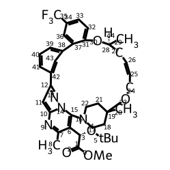 COC(=O)[C@@H](OC(C)(C)C)c1c(C)nc2cc3nn2c1N1CCC(C)(CC1)OCC=CC[C@H](C)Oc1ccc(C(F)(F)F)cc1-c1cccc-3c1